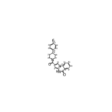 O=C(c1cc2[nH]c(=O)c3ccccc3n2c1)N1CCC(c2ccc(F)cc2)CC1